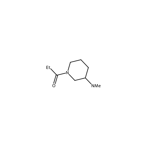 CCC(=O)N1CCCC(NC)C1